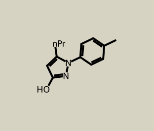 CCCc1cc(O)nn1-c1ccc(C)cc1